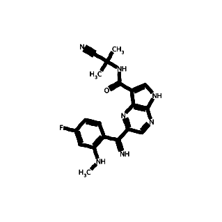 CNc1cc(F)ccc1C(=N)c1cnc2[nH]cc(C(=O)NC(C)(C)C#N)c2n1